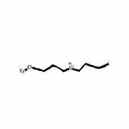 CCOCCC[SiH2]CCCI